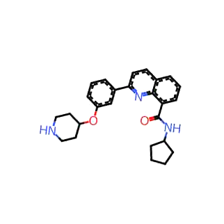 O=C(NC1CCCC1)c1cccc2ccc(-c3cccc(OC4CCNCC4)c3)nc12